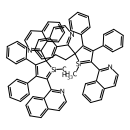 C[Si]1=C(c2nccc3ccccc23)C(c2ccccc2)=C(c2ccccc2)C1(CCC1(c2nccc3ccccc23)C(c2ccccc2)=C(c2ccccc2)C(c2nccc3ccccc23)=[Si]1C)c1nccc2ccccc12